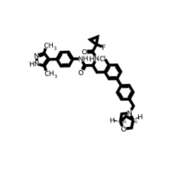 Cc1n[nH]c(C)c1-c1ccc(NC(=O)C(Cc2cc(-c3ccc(CN4C[C@H]5C[C@@H]4CO5)cc3)ccc2Cl)NC(=O)C2(F)CC2)cc1